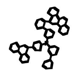 c1ccc(-c2cccc(N(c3ccc(-c4cc5ccccc5c5ccccc45)cc3)c3cccc(-c4ccccc4-c4cc5c6ccccc6ccc5c5ccccc45)c3)c2)cc1